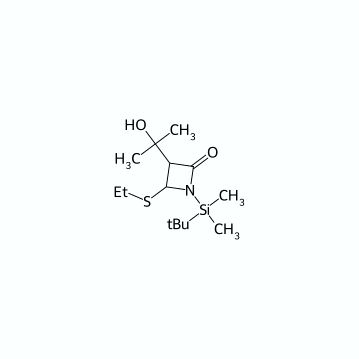 CCSC1C(C(C)(C)O)C(=O)N1[Si](C)(C)C(C)(C)C